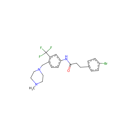 CN1CCN(Cc2ccc(NC(=O)CCc3ccc(Br)cc3)cc2C(F)(F)F)CC1